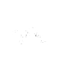 CCC(C)C(NC(=O)C(C)(C)N)C(=O)N(C)C(CC(OC(C)=O)c1nc(C(=O)NC(Cc2ccccc2)CC(C)C(=O)OC)cs1)C(C)C